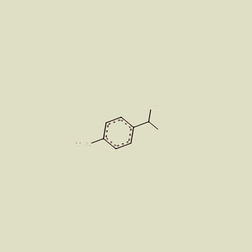 CNc1ccc(C(O)C(=O)O)cc1